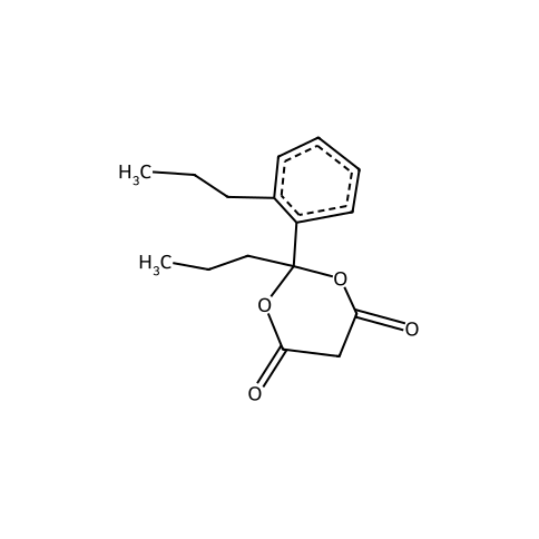 CCCc1ccccc1C1(CCC)OC(=O)CC(=O)O1